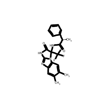 Cc1cc2nc3n(c2cc1C)C(NC(=O)[C@@H](C)c1ccccc1)(C(F)(F)F)C(=O)N3